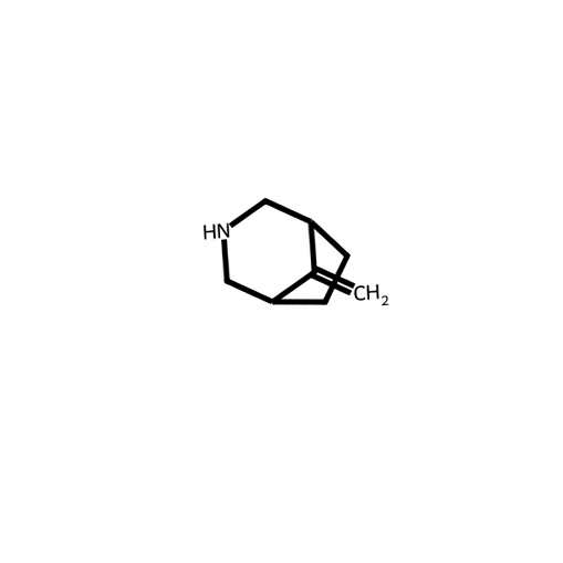 C=C1C2CCC1CNC2